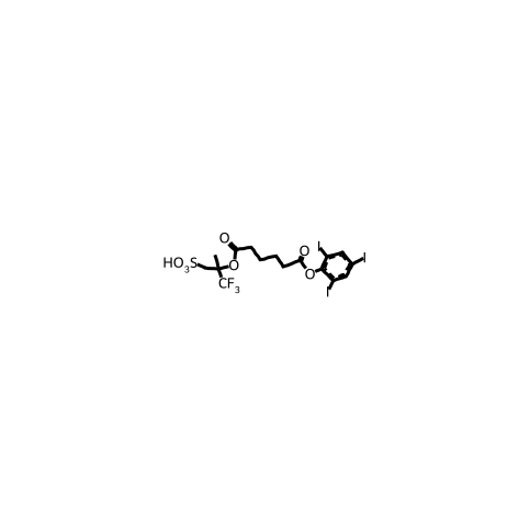 CC(CS(=O)(=O)O)(OC(=O)CCCCC(=O)Oc1c(I)cc(I)cc1I)C(F)(F)F